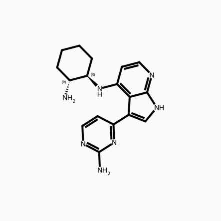 Nc1nccc(-c2c[nH]c3nccc(N[C@@H]4CCCC[C@H]4N)c23)n1